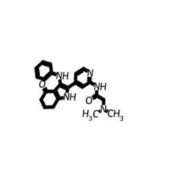 CN(C)CC(=O)Nc1cc(-c2[nH]c3c(c2Nc2ccccc2)C(=O)CCC3)ccn1